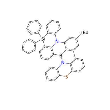 CC(C)(C)c1cc2c3c(c1)N1c4ccccc4[Si](c4ccccc4)(c4ccccc4)c4cccc(c41)B3N1c3ccccc3Sc3cccc-2c31